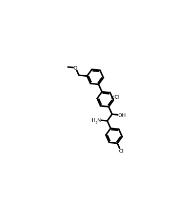 COCc1cccc(-c2ccc(C(O)C(N)c3ccc(Cl)cc3)cc2)c1.Cl